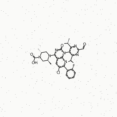 CC(C)c1nc(C=O)nc(C(C)C)c1-n1c(=O)nc(N2C[C@@H](C)N(C(=O)O)C[C@@H]2C)c2cc(Cl)c(-c3ccccc3F)nc21